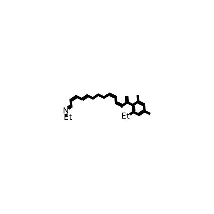 C=C(/C=C\C=C/CCC/C=C/C=C\C=N\CC)c1c(C)cc(C)cc1CC